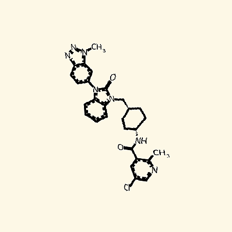 Cc1ncc(Cl)cc1C(=O)N[C@H]1CC[C@H](Cn2c(=O)n(-c3ccc4nnn(C)c4c3)c3ccccc32)CC1